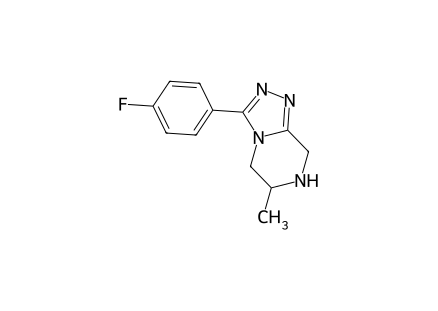 CC1Cn2c(nnc2-c2ccc(F)cc2)CN1